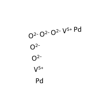 [O-2].[O-2].[O-2].[O-2].[O-2].[Pd].[Pd].[V+5].[V+5]